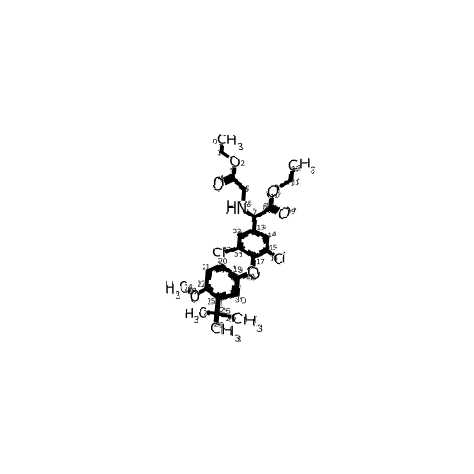 CCOC(=O)CNC(C(=O)OCC)c1cc(Cl)c(Oc2ccc(OC)c(C(C)(C)C)c2)c(Cl)c1